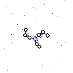 c1ccc(-c2cccc3c2oc2cc(-c4nc(-c5ccc6ccccc6c5)nc(-c5ccc6c(c5)oc5c(-c7ccccc7)cccc56)n4)ccc23)cc1